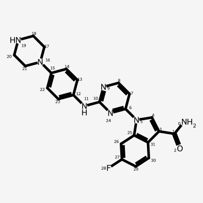 NC(=O)c1cn(-c2ccnc(Nc3ccc(N4CCNCC4)cc3)n2)c2cc(F)ccc12